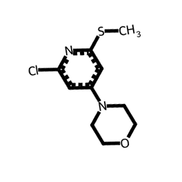 CSc1cc(N2CCOCC2)cc(Cl)n1